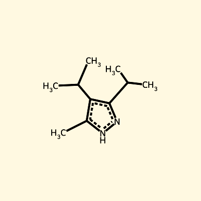 Cc1[nH]nc(C(C)C)c1C(C)C